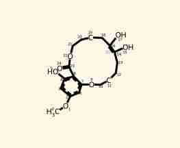 COc1cc(O)c2c(c1)OCCCC/C(O)=C(/O)CCCCOC2=O